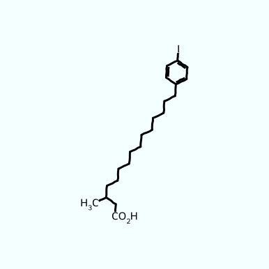 CC(CCCCCCCCCCCCc1ccc(I)cc1)CC(=O)O